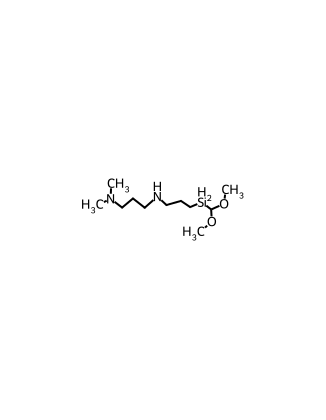 COC(OC)[SiH2]CCCNCCCN(C)C